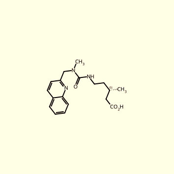 C[C@@H](CCNC(=O)N(C)Cc1ccc2ccccc2n1)CC(=O)O